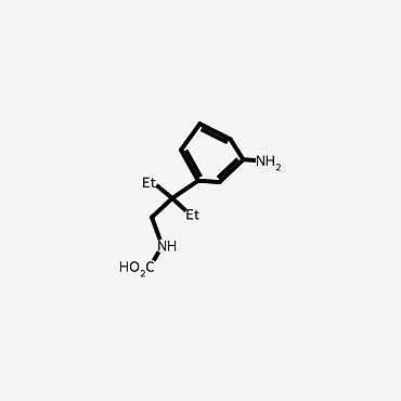 CCC(CC)(CNC(=O)O)c1cccc(N)c1